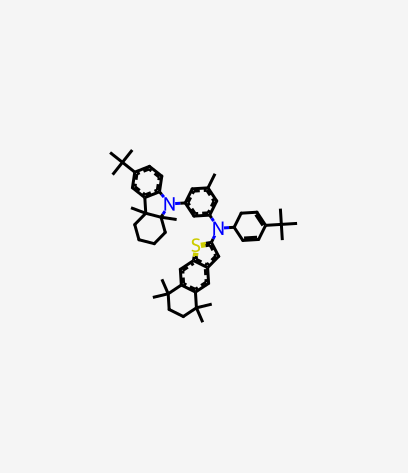 Cc1cc(N(c2cc3cc4c(cc3s2)C(C)(C)CCC4(C)C)C2C=CC(C(C)(C)C)=CC2)cc(N2c3ccc(C(C)(C)C)cc3C3(C)CCCCC23C)c1